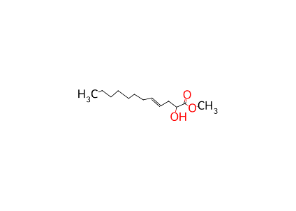 CCCCCCC/C=C/CC(O)C(=O)OC